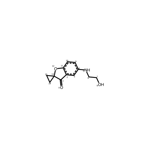 O=C1c2cc(NCCO)ccc2OC12CC2